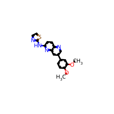 COc1ccc(-c2cnc3ccc(Nc4nccs4)nc3c2)cc1OC